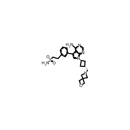 Nc1ncnc2c1c(-c1cccc(CCS(N)(=O)=O)c1)cn2[C@H]1C[C@@H](CN2CC3(COC3)C2)C1